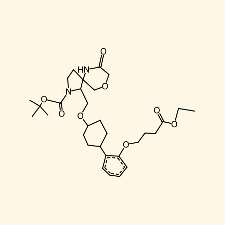 CCOC(=O)CCCOc1ccccc1C1CCC(OCC2N(C(=O)OC(C)(C)C)CCC23COCC(=O)N3)CC1